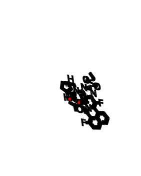 CCS(=O)(=O)c1nc2c3c(nc(-c4cccc5ccc(F)c(C#C[Si](C(C)C)(C(C)C)C(C)C)c45)c(F)c3n1)[C@H](O)C[C@@H]1[C@@H]3CC[C@@H](C3)CN21